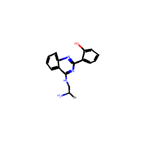 CC(C)C(N)CNc1nc(-c2ccccc2O)nc2ccccc12